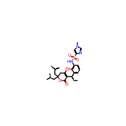 CCC(C1=C(O)CC(CC(C)C)(CC(C)C)OC1=O)c1cccc(NS(=O)(=O)c2cn(C)cn2)c1